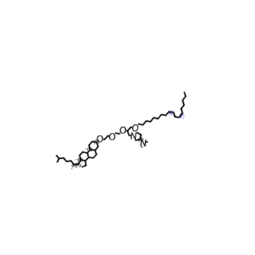 CCCCC/C=C\C/C=C\CCCCCCCCOCC(CN1CC[C@@H](N(C)C)C1)OCCOCCO[C@H]1CC[C@@]2(C)C(CCC3C2CC[C@@]2(C)C3CC[C@@H]2[C@H](C)CCCC(C)C)C1